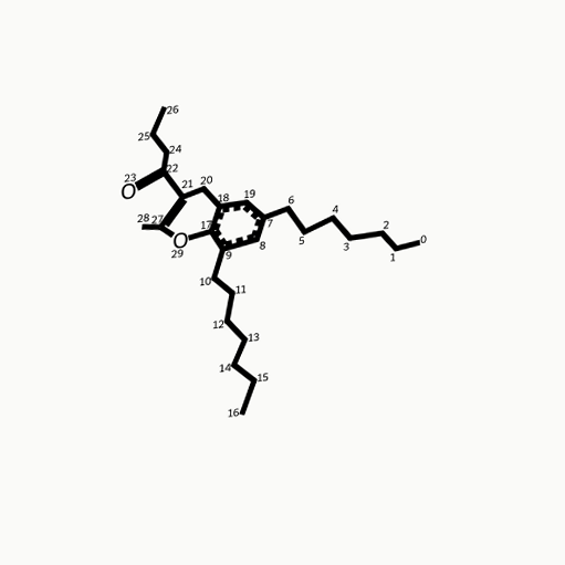 CCCCCCCc1cc(CCCCCCC)c2c(c1)CC(C(=O)CCC)=C(C)O2